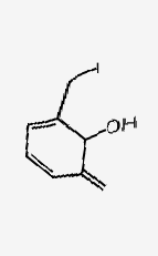 C=C1C=CC=C(CI)C1O